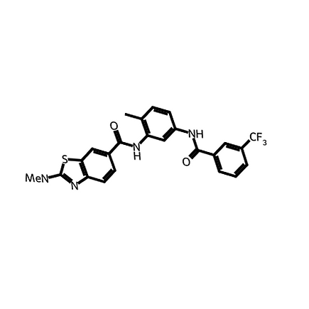 CNc1nc2ccc(C(=O)Nc3cc(NC(=O)c4cccc(C(F)(F)F)c4)ccc3C)cc2s1